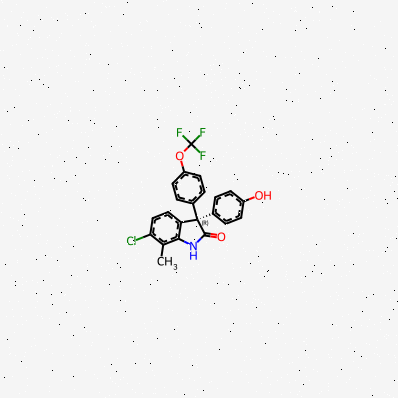 Cc1c(Cl)ccc2c1NC(=O)[C@]2(c1ccc(O)cc1)c1ccc(OC(F)(F)F)cc1